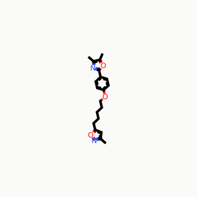 Cc1cc(CCCCCOc2ccc(-c3nc(C)c(C)o3)cc2)on1